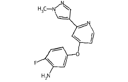 Cn1cc(-c2cc(Oc3ccc(F)c(N)c3)ccn2)cn1